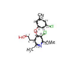 COc1nc(C)c(CCO)c(Oc2cc(Cl)cc(C#N)c2)c1Cl